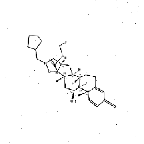 C[C@]12C=CC(=O)C=C1CC[C@H]1[C@@H]3C[C@H]4CN(CC5CCCC5)O[C@@]4(C(=O)SCF)[C@@]3(C)C[C@H](O)[C@@]12F